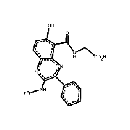 CCCNc1nc2ccc(O)c(C(=O)NCC(=O)O)c2nc1-c1ccccc1